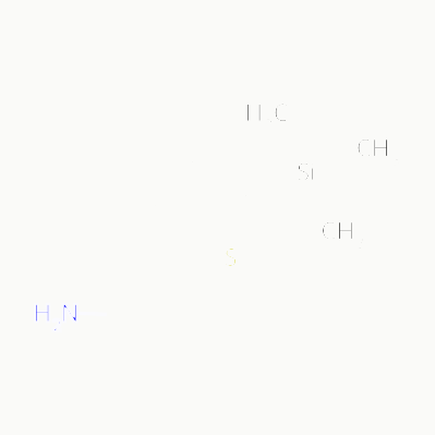 C[Si](C)(C)c1ccc(CN)s1